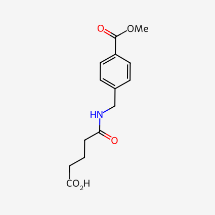 COC(=O)c1ccc(CNC(=O)CCCC(=O)O)cc1